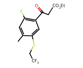 CCOC(=O)CC(=O)c1cc(SCC(F)(F)F)c(C)cc1F